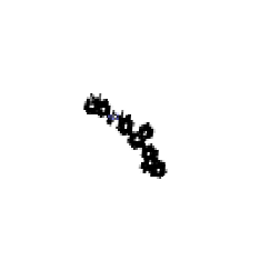 C/C(=N\c1ccc(-c2ccc(-c3ccc4c(c3)C(C)(C)c3ccccc3-4)c3ccccc23)cc1C)c1ccc2ncccc2c1